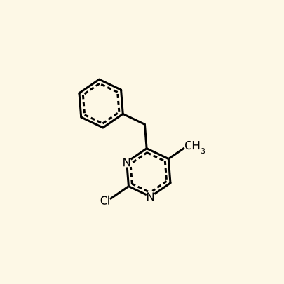 Cc1cnc(Cl)nc1Cc1ccccc1